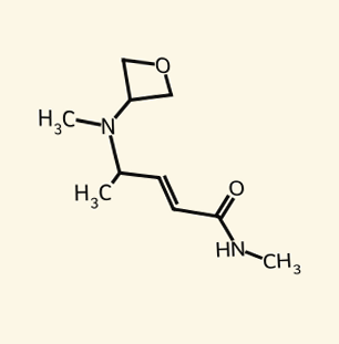 CNC(=O)C=CC(C)N(C)C1COC1